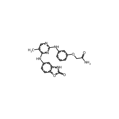 Cc1cnc(Nc2cccc(OCC(N)=O)c2)nc1Nc1ccc2oc(=O)[nH]c2c1